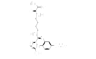 COc1ccc2c(c1)nc(NCCCCNC(=O)C(Br)C(C)C)c1nnc(C)n12